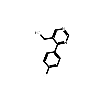 OCc1cncnc1-c1ccc(Cl)cc1